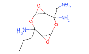 CCCC1(N)OC2OC2C(N)(CN)OC2OC21